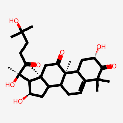 CC(C)(O)CCC(=O)[C@](C)(O)C1[C@H](O)CC2C3CC=C4C(C[C@H](O)C(=O)C4(C)C)[C@]3(C)C(=O)C[C@@]21C